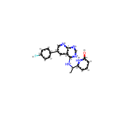 CC(Nc1ncnc2ncc(-c3ccc(F)cc3)cc12)c1cccc(=O)[nH]1